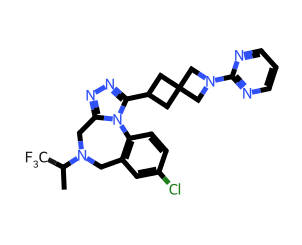 CC(N1Cc2cc(Cl)ccc2-n2c(nnc2C2CC3(C2)CN(c2ncccn2)C3)C1)C(F)(F)F